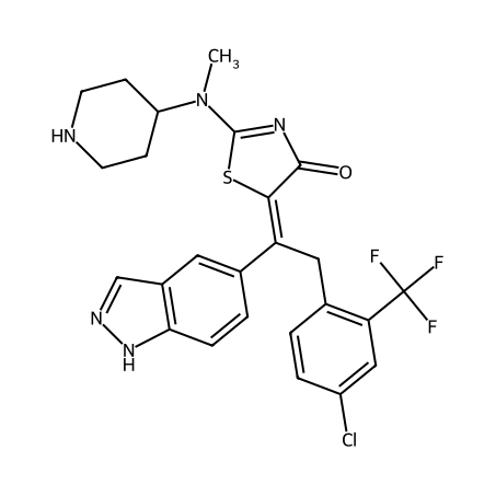 CN(C1=NC(=O)C(=C(Cc2ccc(Cl)cc2C(F)(F)F)c2ccc3[nH]ncc3c2)S1)C1CCNCC1